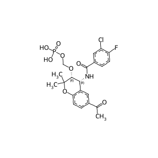 CC(=O)c1ccc2c(c1)[C@@H](NC(=O)c1ccc(F)c(Cl)c1)[C@@H](OCOP(=O)(O)O)C(C)(C)O2